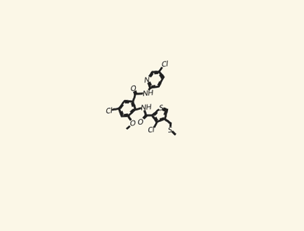 COc1cc(Cl)cc(C(=O)Nc2ccc(Cl)cn2)c1NC(=O)c1scc(CSC)c1Cl